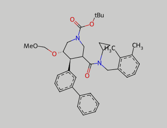 COCO[C@@H]1CN(C(=O)OC(C)(C)C)CC(C(=O)N(Cc2cccc(C)c2C)C2CC2)[C@H]1c1cccc(-c2ccccc2)c1